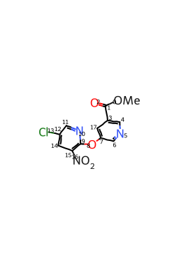 COC(=O)c1cncc(Oc2ncc(Cl)cc2[N+](=O)[O-])c1